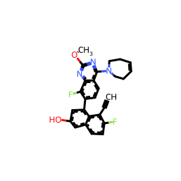 C#Cc1c(F)ccc2cc(O)cc(-c3ccc4c(N5CCC=CCC5)nc(OC)nc4c3F)c12